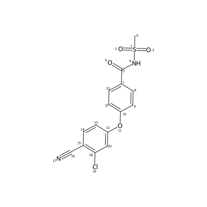 CS(=O)(=O)NC(=O)c1ccc(Oc2ccc(C#N)c(Cl)c2)cc1